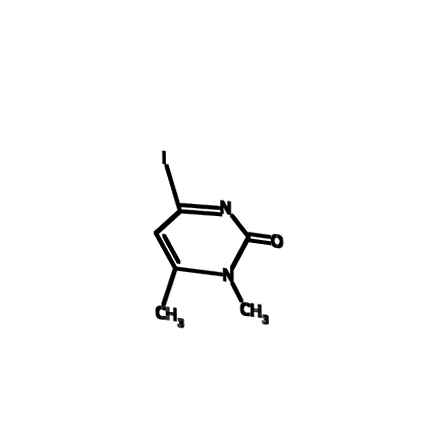 Cc1cc(I)nc(=O)n1C